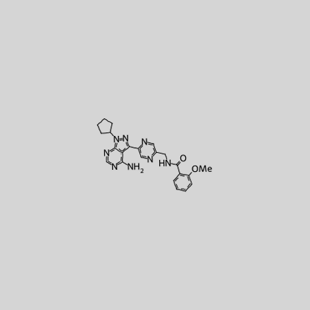 COc1ccccc1C(=O)NCc1cnc(-c2nn(C3CCCC3)c3ncnc(N)c23)cn1